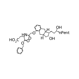 CCCCC[C@H](O)CC[C@@H]1[C@H]2Cc3cccc(OCC(=O)NC(CC(=O)O)C(=O)OCc4ccccc4)c3C[C@H]2C[C@H]1O